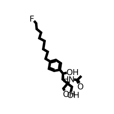 CC(=O)NC(CO)(CO)CC(O)c1ccc(CCCCCCCCF)cc1